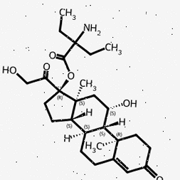 CCC(N)(CC)C(=O)O[C@]1(C(=O)CO)CC[C@H]2[C@@H]3CCC4=CC(=O)CC[C@]4(C)[C@H]3[C@@H](O)C[C@@]21C